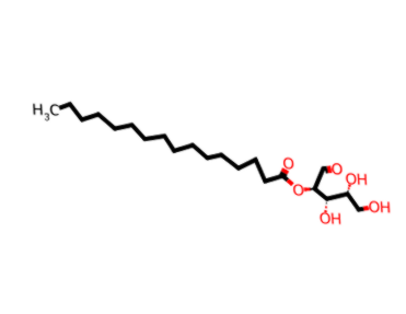 CCCCCCCCCCCCCCCC(=O)O[C@@H](C=O)[C@@H](O)[C@H](O)CO